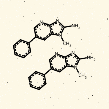 Cn1c(N)nc2ncc(-c3ccccc3)cc21.Cn1c(N)nc2ncc(-c3ccccc3)cc21